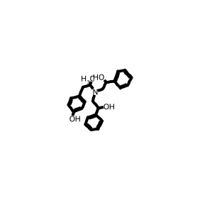 CC(Cc1ccc(O)cc1)N(CC(O)c1ccccc1)CC(O)c1ccccc1